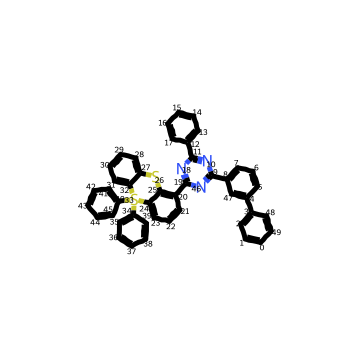 c1ccc(-c2cccc(-c3nc(-c4ccccc4)nc(-c4cccc5c4Sc4ccccc4S5(c4ccccc4)c4ccccc4)n3)c2)cc1